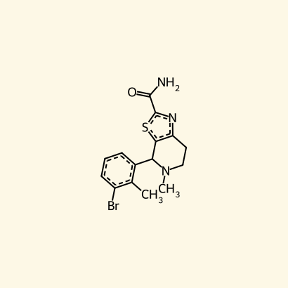 Cc1c(Br)cccc1C1c2sc(C(N)=O)nc2CCN1C